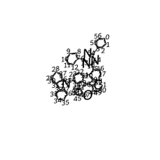 c1ccc(-c2nc(-c3ccccc3)nc(-c3cccc4c3-c3ccc(-n5c6ccccc6c6ccccc65)cc3C43c4ccccc4Oc4ccccc43)n2)cc1